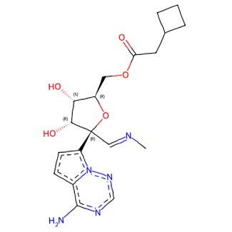 CN=C[C@@]1(c2ccc3c(N)ncnn23)O[C@H](COC(=O)CC2CCC2)[C@@H](O)[C@H]1O